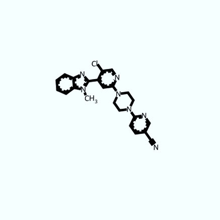 Cn1c(-c2cc(N3CCN(c4ccc(C#N)cn4)CC3)ncc2Cl)nc2ccccc21